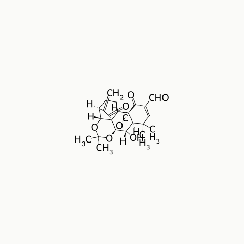 C=C1C(=O)[C@@]23[C@@H]4OC(C)(C)O[C@]25OC[C@]2(C(=O)C(C=O)=CC(C)(C)[C@H]2[C@@H]5O)[C@@H]3CC[C@@H]14